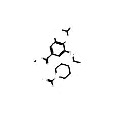 COC(=O)c1cc(F)c(OC(F)F)c(NC(C)[C@H]2CCN(C(=O)O)C[C@H]2C)c1